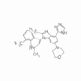 Cc1cc(-n2c(C)nc3c(-c4nnc[nH]4)cc(N4CCOCC4)cc32)c2cccc(C(F)(F)F)c2n1